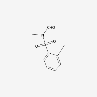 Cc1ccccc1S(=O)(=O)N(C)C=O